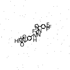 CC1(C)NC(=O)N(Cc2ccc(CNc3ncnc(N4CCCC4c4ccc(C(F)(F)F)cc4)c3F)cc2)C1=O